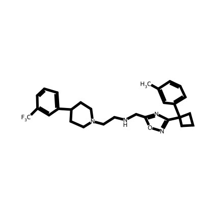 Cc1cccc(C2(c3noc(CNCCN4CCC(c5cccc(C(F)(F)F)c5)CC4)n3)CCC2)c1